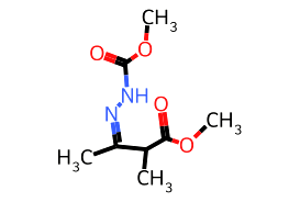 COC(=O)NN=C(C)C(C)C(=O)OC